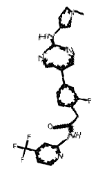 Cn1ccc(Nc2ncc(-c3ccc(CC(=O)Nc4cc(C(F)(F)F)ccn4)c(F)c3)cn2)c1